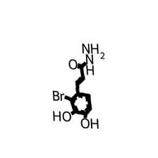 NNC(=O)C=Cc1ccc(O)c(O)c1Br